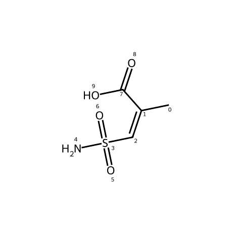 CC(=CS(N)(=O)=O)C(=O)O